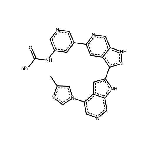 CCCC(=O)Nc1cncc(-c2cc3c(-c4cc5c(-n6cnc(C)c6)cncc5[nH]4)n[nH]c3cn2)c1